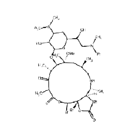 CC[C@H]1OC(=O)C(C)C(=O)[C@H](C)[C@@H](O[C@@H]2O[C@H](C(O)CN(C)C(C)C)CC(N(C)C)C2O)[C@](C)(OC)C[C@@H](C)CN[C@H](C)[C@H]2NC(=O)O[C@@]21CC